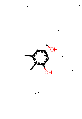 CO.Cc1cccc(O)c1C